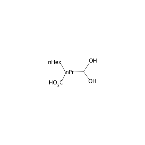 CCCC(O)O.CCCCCCCC(=O)O